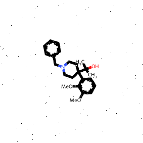 COc1cccc(C2(C(C)(C)O)CCN(Cc3ccccc3)CC2)c1OC